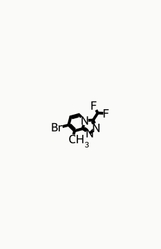 Cc1c(Br)ccn2c(C(F)F)nnc12